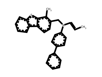 C/C=C/N(Cc1ccc2c(sc3ccccc32)c1C)c1ccc(-c2ccccc2)cc1